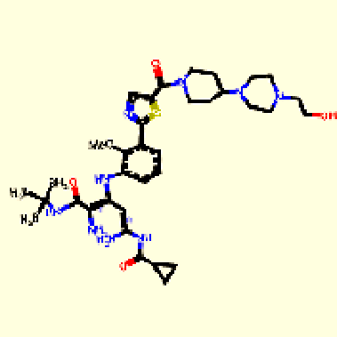 BC(B)(B)NC(=O)/C(N)=C(/C=C(\N)NC(=O)C1CC1)Nc1cccc(-c2ncc(C(=O)N3CCC(N4CCN(CCO)CC4)CC3)s2)c1OC